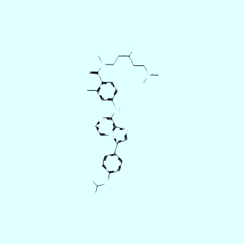 CCC(CCN(C)C)CCN(C)C(=O)c1ccc(Nc2nccn3c(-c4ccc(OC(F)F)cc4)cnc23)cc1C